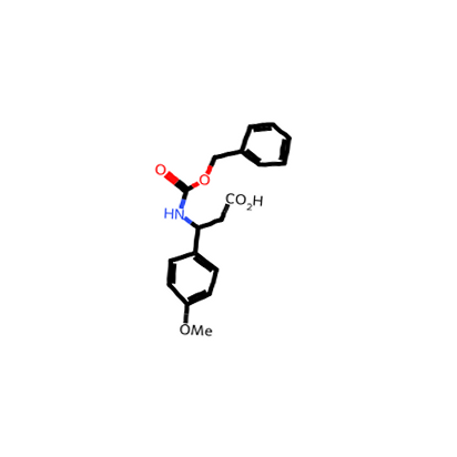 COc1ccc(C(CC(=O)O)NC(=O)OCc2ccccc2)cc1